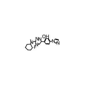 CN(c1ncc(-c2ccc(-n3ccnc3)cc2O)nn1)[C@@H]1CCCC[C@H]1F